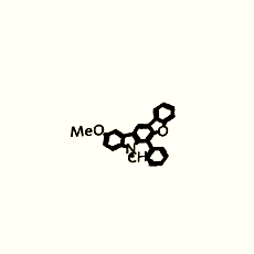 COc1ccc2c(c1)c1cc3c(oc4ccccc43)c(-c3ccccc3)c1n2C